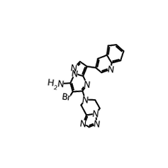 Nc1c(Br)c(N2CCn3ncnc3C2)nc2c(-c3cnc4ccccc4c3)cnn12